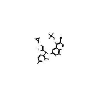 B[C@@](Nc1cc(Cl)c2ncc(C#N)c(NCC(C)(C)C)c2c1)(C1=CN(C2CC2)NN1)c1ccc(Cl)nc1C